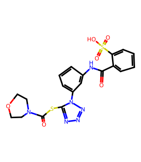 O=C(Nc1cccc(-n2nnnc2SC(=O)N2CCOCC2)c1)c1ccccc1S(=O)(=O)O